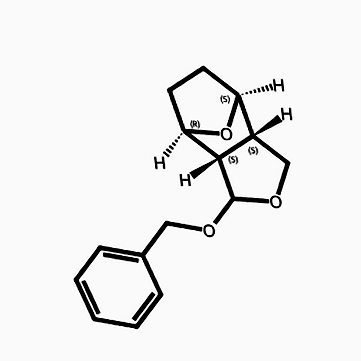 c1ccc(COC2OC[C@@H]3[C@H]2[C@H]2CC[C@@H]3O2)cc1